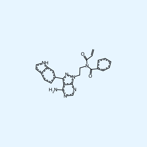 C=CC(=O)N(CCn1nc(-c2ccc3cc[nH]c3c2)c2c(N)ncnc21)C(=O)c1ccccc1